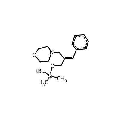 CC(C)(C)[Si](C)(C)OCC(=Cc1ccccc1)CN1CCOCC1